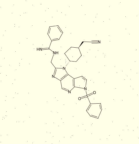 N#CC[C@H]1CC[C@H](n2c(CNC(=N)c3ccccc3)nc3cnc4c(ccn4S(=O)(=O)c4ccccc4)c32)CC1